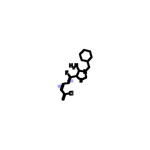 C=C(Cl)/C=C\C=C(/F)C1SCN(CC2CCCCC2)C1N